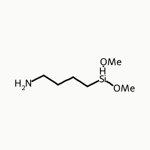 CO[SiH](CCCCN)OC